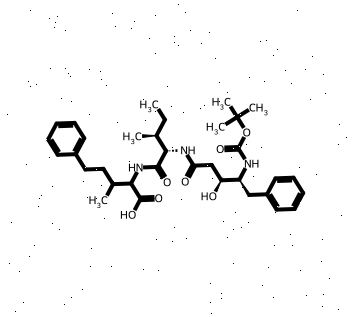 CC[C@H](C)[C@H](NC(=O)C[C@H](O)[C@H](Cc1ccccc1)NC(=O)OC(C)(C)C)C(=O)NC(C(=O)O)C(C)CCc1ccccc1